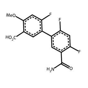 COc1cc(F)c(-c2cc(C(N)=O)c(F)cc2F)cc1C(=O)O